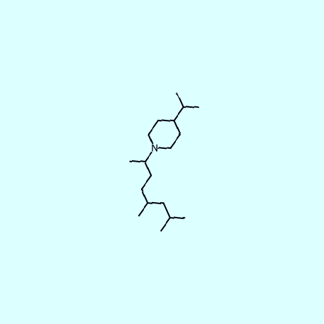 CC(C)CC(C)CCC(C)N1CCC(C(C)C)CC1